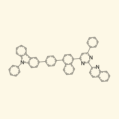 c1ccc(-c2cc(-c3ccc(-c4ccc(-c5ccc6c(c5)c5ccccc5n6-c5ccccc5)cc4)c4ccccc34)nc(-c3ccc4ccccc4n3)n2)cc1